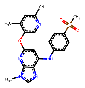 Cc1cc(C#N)ncc1Oc1cc(Nc2ccc(S(C)(=O)=O)cc2)c2ncn(C)c2n1